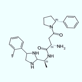 C[C@H](NC(=O)[C@@H](N)CC(=O)N1CCC[C@@H]1c1ccccc1)C1NCC(c2ccccc2F)N1